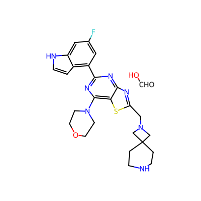 Fc1cc(-c2nc(N3CCOCC3)c3sc(CN4CC5(CCNCC5)C4)nc3n2)c2cc[nH]c2c1.O=CO